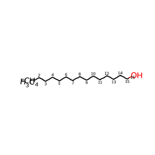 C.CCCCCCCCCCCCCCCO